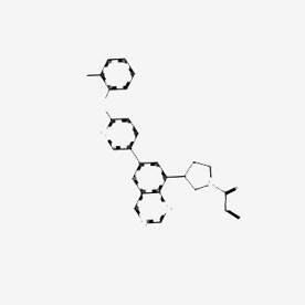 C=CC(=O)N1CCC(c2cc(-c3ccc(Oc4ccccc4F)nc3)cc3cncnc23)C1